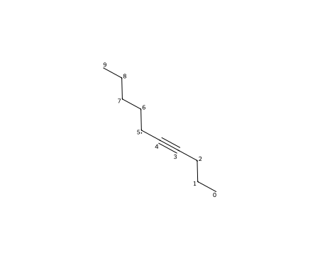 CCCC#C[CH]CCCC